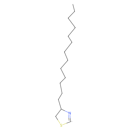 CCCCCCCCCCCCCC1CS[C]=N1